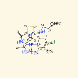 C=C(NC1(C(F)(F)F)C(=C)Nc2nc3c(C#N)c(Cl)ccc3n21)c1csc(NCCOC)n1